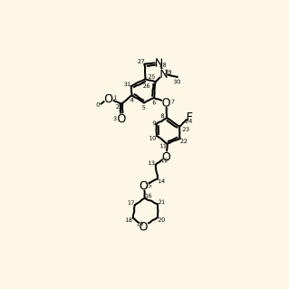 COC(=O)c1cc(Oc2ccc(OCCOC3CCOCC3)cc2F)c2c(cnn2C)c1